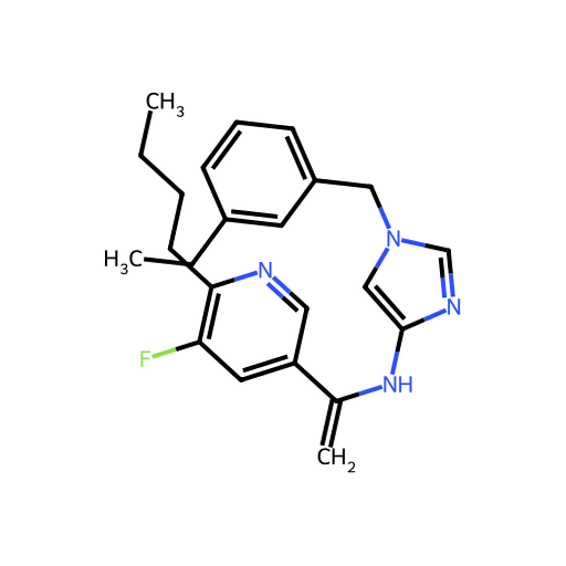 C=C(Nc1cn(Cc2cccc(CC)c2)cn1)c1cnc(CCCC)c(F)c1